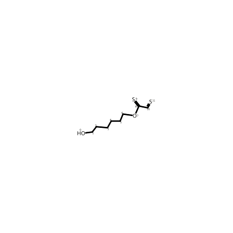 OCCCCCCOC(=S)C=S